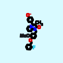 COc1cc(Cn2c(=O)c(C)c(-c3ccc([O-])cc3)[n+]3ccccc23)ccc1OCc1ccccc1F